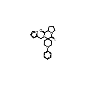 O=C1C2CCCN2C(=O)C2(CCN(c3ccccc3)CC2)N1Cc1ccco1